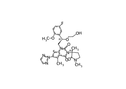 COc1ccc(F)cc1[C@H](Cn1c(=O)n([C@]2(C)CCN(C)C2=O)c(=O)c2c(C)c(-n3nccn3)sc21)OCCO